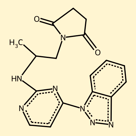 CC(CN1C(=O)CCC1=O)Nc1nccc(-n2nnc3ccccc32)n1